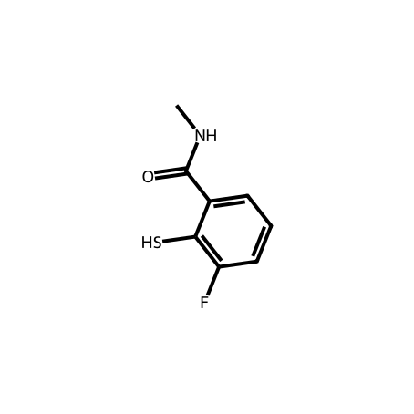 CNC(=O)c1cccc(F)c1S